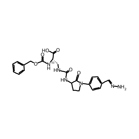 NN=Cc1ccc(N2CCC(NC(=O)NC[C@H](NC(=O)OCc3ccccc3)C(=O)O)C2=O)cc1